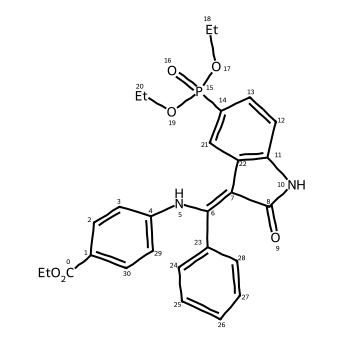 CCOC(=O)c1ccc(NC(=C2C(=O)Nc3ccc(P(=O)(OCC)OCC)cc32)c2ccccc2)cc1